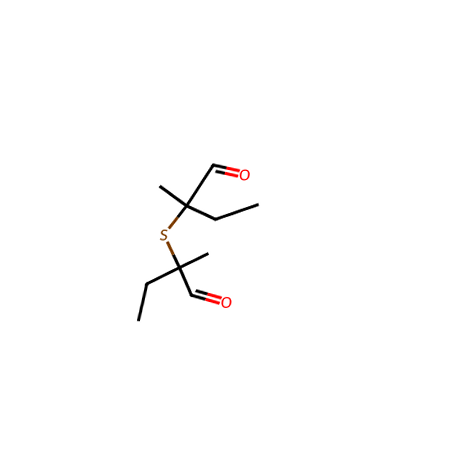 CCC(C)(C=O)SC(C)(C=O)CC